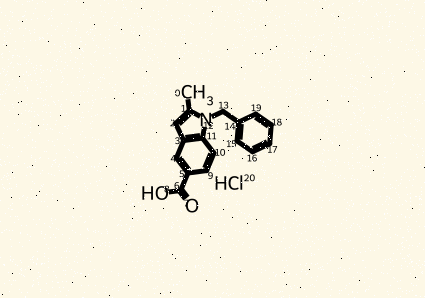 Cc1cc2cc(C(=O)O)ccc2n1Cc1ccccc1.Cl